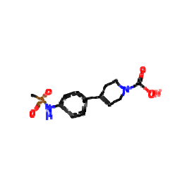 CS(=O)(=O)Nc1ccc(C2=CCN(C(=O)O)CC2)cc1